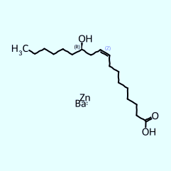 CCCCCC[C@@H](O)C/C=C\CCCCCCCC(=O)O.[Ba].[Zn]